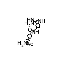 CC(=O)C(N)C(C)(C)c1ccc(C(=O)NCCc2ccc3[nH]cc(C(=N)N)c3c2)cc1